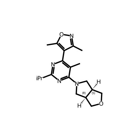 Cc1noc(C)c1-c1nc(C(C)C)nc(N2C[C@H]3COC[C@H]3C2)c1C